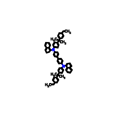 C=Cc1ccc(C(C)(C)c2ccc(N(C3=c4ccccc4=CCC3)c3ccc(-c4ccc(N(c5ccc(C(C)(C)c6ccc(C=C)cc6)cc5)c5cccc6ccccc56)cc4)cc3)cc2)cc1